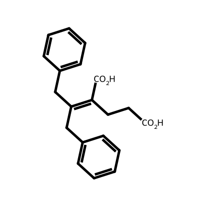 O=C(O)CCC(C(=O)O)=C(Cc1ccccc1)Cc1ccccc1